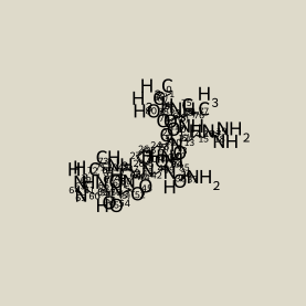 CC[C@H](C)[C@H](NC(=O)[C@@H](NC(=O)[C@H](CCCNC(=N)N)NC(=O)[C@H](Cc1ccccc1)NC(=O)[C@H](CC(N)=O)NC(=O)CNC(=O)[C@@H]1CCCN1C(=O)[C@H](CO)NC(=O)[C@H](Cc1c[nH]cn1)NC(=O)[C@@H](N)C(C)C)[C@@H](C)CC)C(=O)O